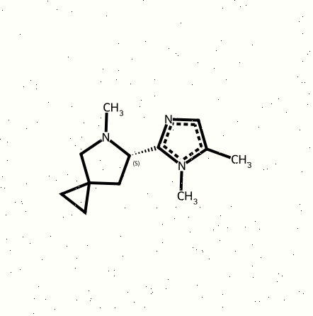 Cc1cnc([C@@H]2CC3(CC3)CN2C)n1C